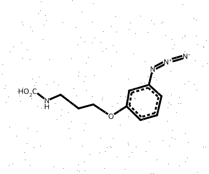 [N-]=[N+]=Nc1cccc(OCCCNC(=O)O)c1